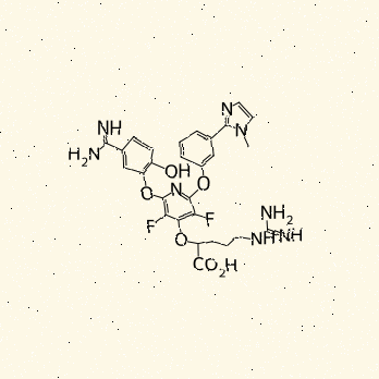 Cn1ccnc1-c1cccc(Oc2nc(Oc3cc(C(=N)N)ccc3O)c(F)c(OC(CCCNC(=N)N)C(=O)O)c2F)c1